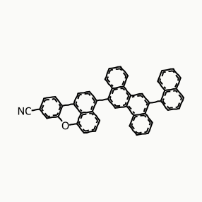 N#Cc1ccc2c(c1)Oc1cccc3c(-c4cc5c6ccccc6c(-c6cccc7ccccc67)cc5c5ccccc45)ccc-2c13